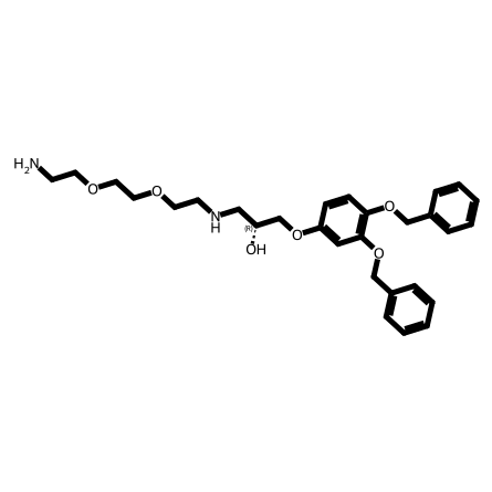 NCCOCCOCCNC[C@@H](O)COc1ccc(OCc2ccccc2)c(OCc2ccccc2)c1